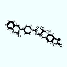 O=C(O)[C@@H](Cc1ccc2[nH]c(=O)oc2c1)NC(=O)N1CCC(N2Cc3ccccc3NC2=O)CC1